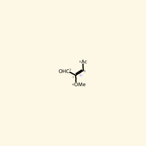 CO/C(C=O)=C/C(C)=O